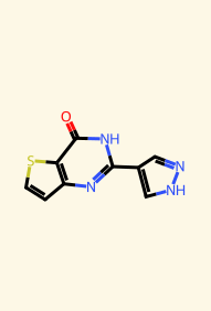 O=c1[nH]c(-c2cn[nH]c2)nc2ccsc12